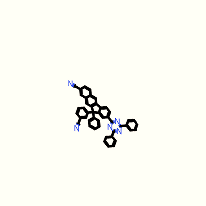 N#Cc1cccc(C2(c3ccccc3)c3cc(-c4nc(-c5ccccc5)nc(-c5ccccc5)n4)ccc3-c3cc4ccc(C#N)cc4cc32)c1